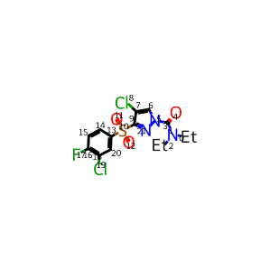 CCN(CC)C(=O)n1cc(Cl)c(S(=O)(=O)c2ccc(F)c(Cl)c2)n1